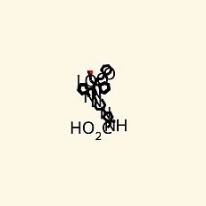 CC1(NC(=O)O)CCN(C2CCN(c3nc(C(COC4CCCCO4)(OC4CC4)c4ccccc4)c4cc(I)ccc4n3)CC2)CC1